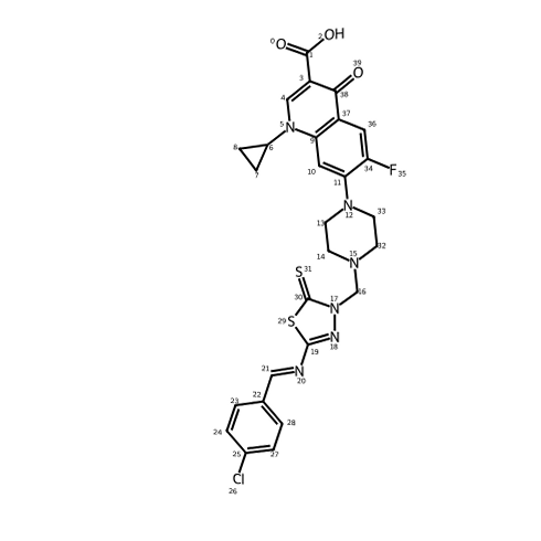 O=C(O)c1cn(C2CC2)c2cc(N3CCN(Cn4nc(N=Cc5ccc(Cl)cc5)sc4=S)CC3)c(F)cc2c1=O